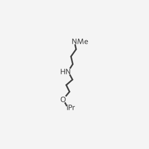 CNCCCNCCCOC(C)C